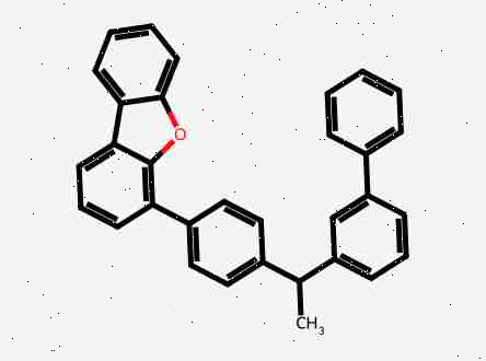 CC(c1ccc(-c2cccc3c2oc2ccccc23)cc1)c1cccc(-c2ccccc2)c1